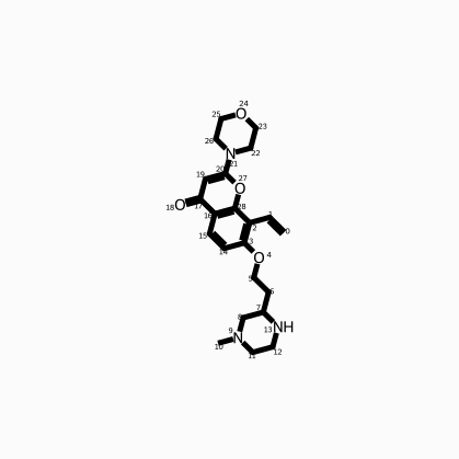 C=Cc1c(OCCC2CN(C)CCN2)ccc2c(=O)cc(N3CCOCC3)oc12